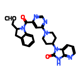 O=CCC1Cc2ccccc2N1C(=O)c1cc(N2CCC(n3c(=O)[nH]c4ncccc43)CC2)ncn1